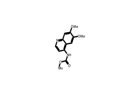 COc1cc2nccc(NC(=O)OC(C)(C)C)c2cc1OC